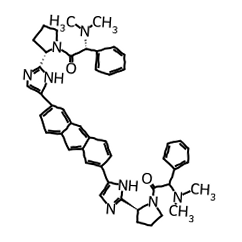 CN(C)C(C(=O)N1CCC[C@H]1c1ncc(-c2ccc3cc4cc(-c5cnc([C@@H]6CCCN6C(=O)[C@@H](c6ccccc6)N(C)C)[nH]5)ccc4cc3c2)[nH]1)c1ccccc1